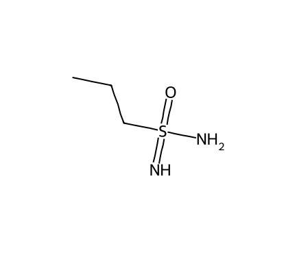 CCCS(=N)(N)=O